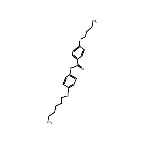 CCCCCCOc1ccc(OC(=O)c2ccc(OCCCC)cc2)cc1